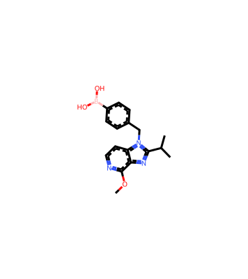 COc1nccc2c1nc(C(C)C)n2Cc1ccc(B(O)O)cc1